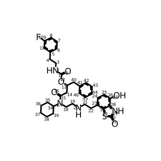 O=C(NCCc1cccc(F)c1)OC(CC(=O)N(CCNCCc1ccc(O)c2[nH]c(=O)sc12)C1CCCCC1)Cc1ccccc1